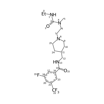 CCNC(=O)N(C)CCN1CCC(CNC(=O)c2cc(F)cc(C(F)(F)F)c2)CC1